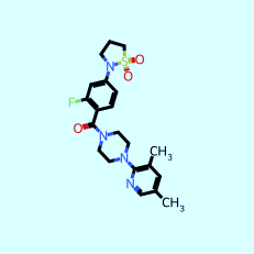 Cc1cnc(N2CCN(C(=O)c3ccc(N4CCCS4(=O)=O)cc3F)CC2)c(C)c1